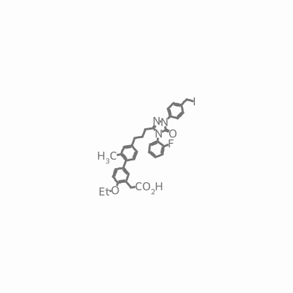 CCOc1ccc(-c2ccc(CCCc3nn(-c4ccc(CI)cc4)c(=O)n3-c3ccccc3F)cc2C)cc1CC(=O)O